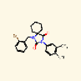 N#Cc1ccc(N2C(=O)N(Cc3ccccc3Br)C3(CCCCC3)C2=O)cc1C(F)(F)F